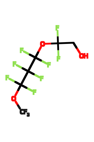 OCC(F)(F)OC(F)(F)C(F)(F)C(F)(F)OC(F)(F)F